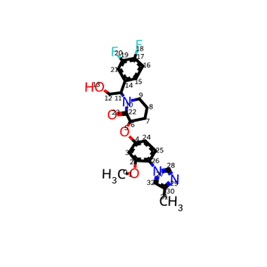 COc1cc(OC2CCCN(C(CO)c3ccc(F)c(F)c3)C2=O)ccc1-n1cnc(C)c1